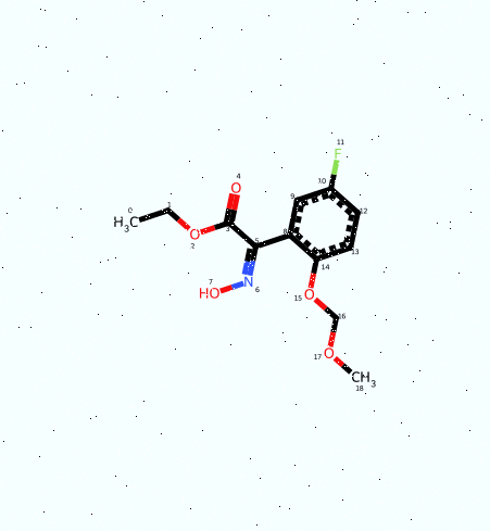 CCOC(=O)C(=NO)c1cc(F)ccc1OCOC